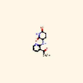 COC(=O)c1cccnc1NC1CCC(=O)NC1=O